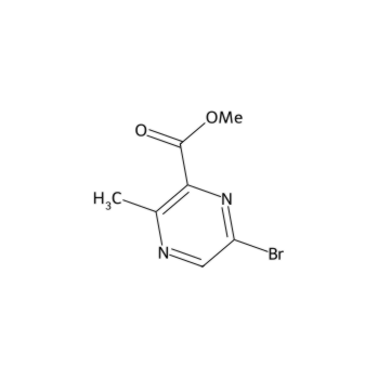 COC(=O)c1nc(Br)cnc1C